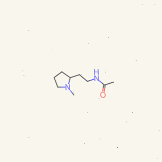 CC(=O)NCCC1CCCN1C